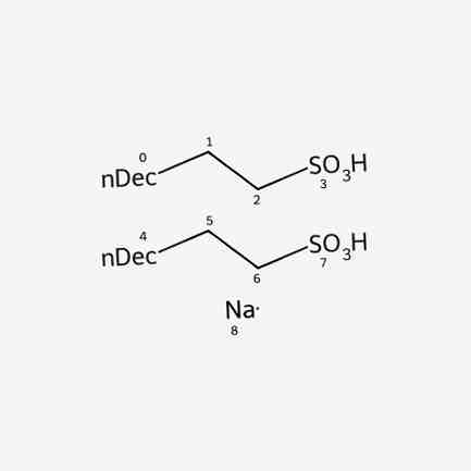 CCCCCCCCCCCCS(=O)(=O)O.CCCCCCCCCCCCS(=O)(=O)O.[Na]